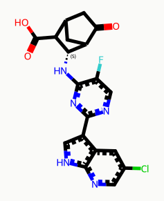 O=C1CC2CC1[C@H](Nc1nc(-c3c[nH]c4ncc(Cl)cc34)ncc1F)C2C(=O)O